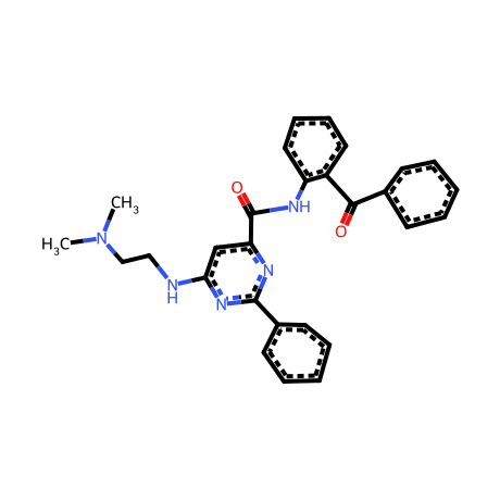 CN(C)CCNc1cc(C(=O)Nc2ccccc2C(=O)c2ccccc2)nc(-c2ccccc2)n1